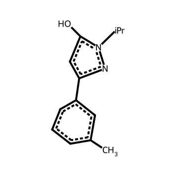 Cc1cccc(-c2cc(O)n(C(C)C)n2)c1